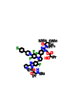 CCCN(C(=O)C(NC)C(C)OC)c1nc2cc(F)c(C3CC[C@H](c4cc5nc(C6CCCN6C)n(COC(=O)C(NC(C)(C)C)C(C)C)c5cc4F)N3c3cc(F)c(N4CCC(c5ccc(F)cc5)CC4)c(F)c3)cc2n1COC(=O)C(O)C(C)C